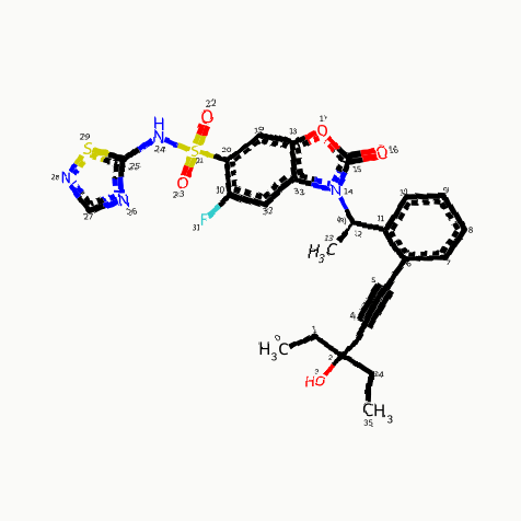 CCC(O)(C#Cc1ccccc1[C@@H](C)n1c(=O)oc2cc(S(=O)(=O)Nc3ncns3)c(F)cc21)CC